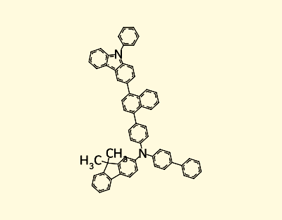 CC1(C)c2ccccc2-c2ccc(N(c3ccc(-c4ccccc4)cc3)c3ccc(-c4ccc(-c5ccc6c(c5)c5ccccc5n6-c5ccccc5)c5ccccc45)cc3)cc21